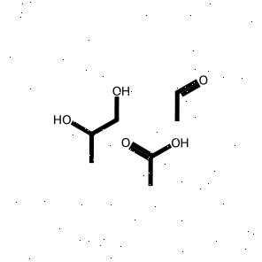 CC(=O)O.CC(O)CO.CC=O